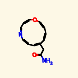 NC(=O)Cc1ccccocccnccc1